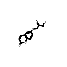 CCC(=O)COc1ccc2oc(=O)ccc2c1